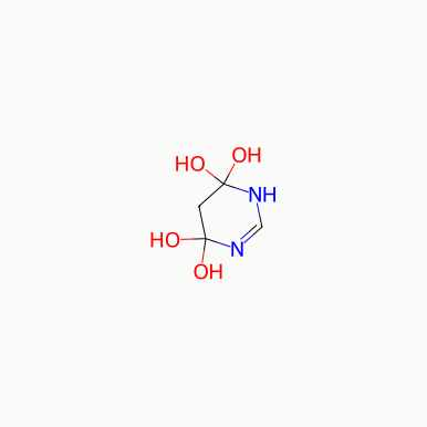 OC1(O)CC(O)(O)NC=N1